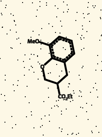 CCOC(=O)C1COc2c(cccc2OC)C1